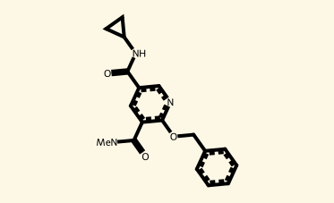 CNC(=O)c1cc(C(=O)NC2CC2)cnc1OCc1ccccc1